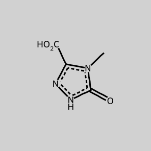 Cn1c(C(=O)O)n[nH]c1=O